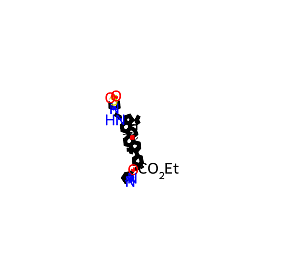 C=C(C)[C@@H]1CC[C@]2(NCCN3CCS(=O)(=O)CC3)CC[C@]3(C)[C@H](CCC4[C@@]5(C)CC=C(C6=CCC(COc7cccnn7)(C(=O)OCC)CC6)C(C)(C)C5CC[C@]43C)C12